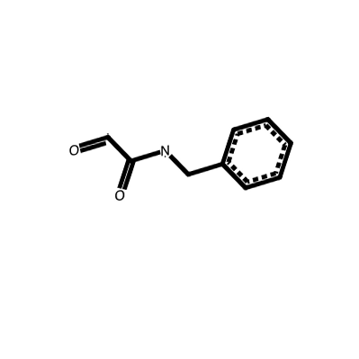 O=[C]C(=O)[N]Cc1ccccc1